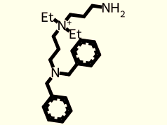 CC[N+](CC)(CCCN)CCCN(Cc1ccccc1)Cc1ccccc1